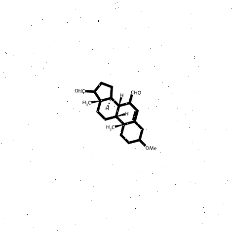 COC1CC[C@@]2(C)C(=CC(C=O)[C@@H]3[C@H]2CC[C@]2(C)C(C=O)CC[C@@H]32)C1